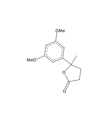 COc1cc(OC)cc(C2(C)CCC(=O)O2)c1